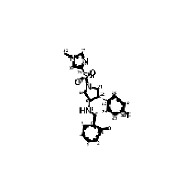 Cc1ccccc1CN[C@H]1CN(S(=O)(=O)c2cn(C)cn2)C[C@@H]1c1ccc(F)cc1